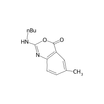 CCCCNc1nc2ccc(C)cc2c(=O)o1